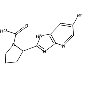 O=C(O)N1CCCC1c1nc2ncc(Br)cc2[nH]1